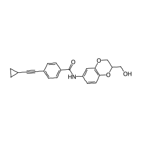 O=C(Nc1ccc2c(c1)OCC(CO)O2)c1ccc(C#CC2CC2)cc1